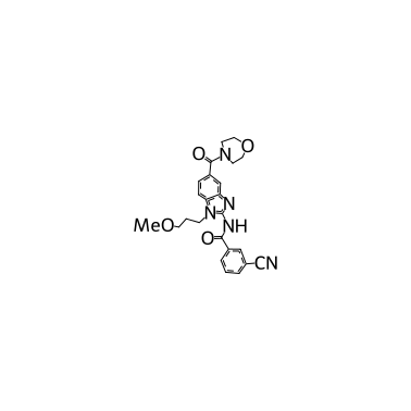 COCCCn1c(NC(=O)c2cccc(C#N)c2)nc2cc(C(=O)N3CCOCC3)ccc21